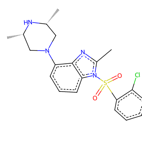 Cc1nc2c(N3C[C@@H](C)N[C@@H](C)C3)cccc2n1S(=O)(=O)c1ccccc1Cl